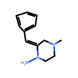 CN1CCN(N)C(=Cc2ccccc2)C1